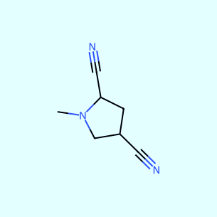 CN1CC(C#N)CC1C#N